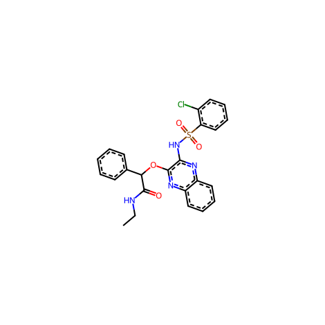 CCNC(=O)C(Oc1nc2ccccc2nc1NS(=O)(=O)c1ccccc1Cl)c1ccccc1